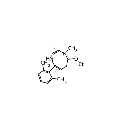 CCOC1C/C=C(/c2c(C)cccc2C)N/C=C\N1C